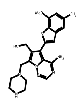 COc1cc(C)cc2cc(-c3c(CO)c(CN4CCNCC4)n4ncnc(N)c34)sc12